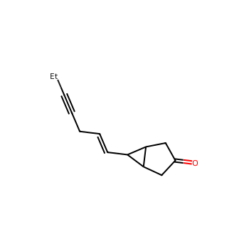 CCC#CCC=CC1C2CC(=O)CC12